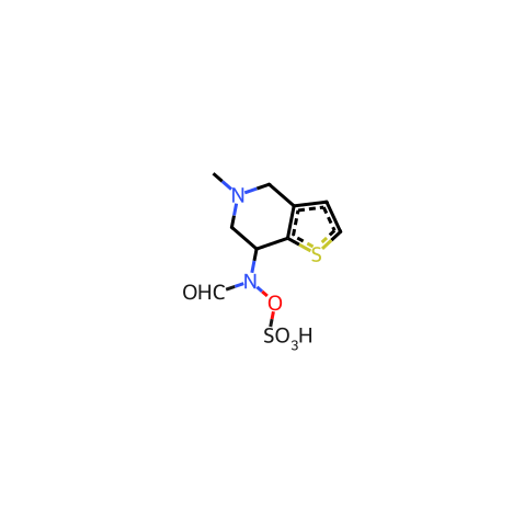 CN1Cc2ccsc2C(N(C=O)OS(=O)(=O)O)C1